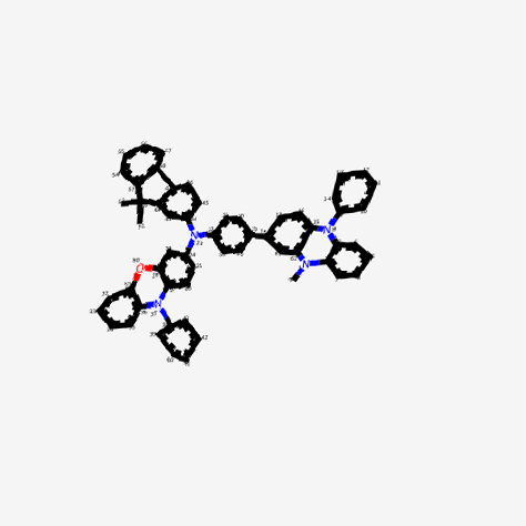 CN1c2ccccc2N(c2ccccc2)c2ccc(-c3ccc(N(c4ccc5c(c4)Oc4ccccc4N5c4ccccc4)c4ccc5c(c4)C(C)(C)c4ccccc4-5)cc3)cc21